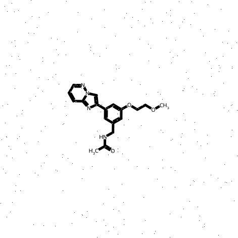 COCCOc1cc(CNC(C)=O)cc(-c2cn3ncccc3n2)c1